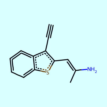 C#Cc1c(/C=C(\C)N)sc2c1=C=C=CC=2